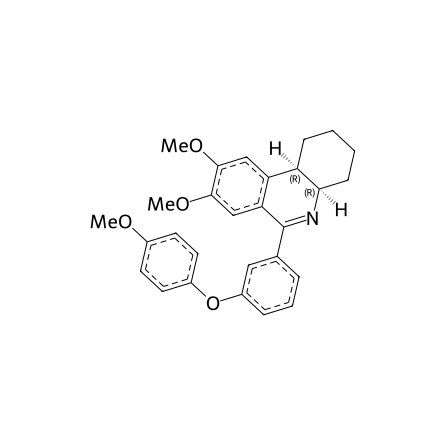 COc1ccc(Oc2cccc(C3=N[C@@H]4CCCC[C@@H]4c4cc(OC)c(OC)cc43)c2)cc1